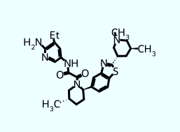 CCc1cc(NC(=O)C(=O)N2C[C@@H](C)CC[C@@H]2c2ccc3sc([C@H]4C[C@H](C)CN(C)C4)nc3c2)cnc1N